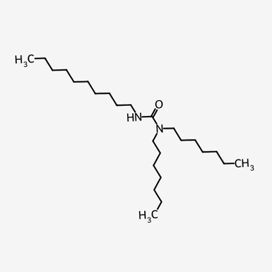 CCCCCCCCCCNC(=O)N(CCCCCCC)CCCCCCC